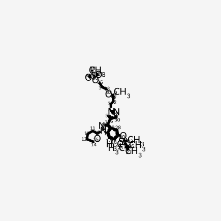 C[C@@H](CCn1cc(-c2nn(C3CCCCO3)c3ccc(O[Si](C)(C)C(C)(C)C)cc23)cn1)OCCCOS(C)(=O)=O